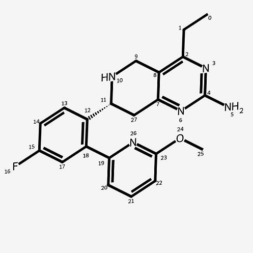 CCc1nc(N)nc2c1CN[C@@H](c1ccc(F)cc1-c1cccc(OC)n1)C2